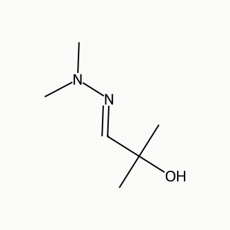 CN(C)N=CC(C)(C)O